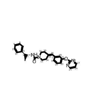 O=C(N[C@@H]1C[C@H]1c1ccccc1)N1CCC(=Cc2cccc(Oc3ncccn3)c2)CC1